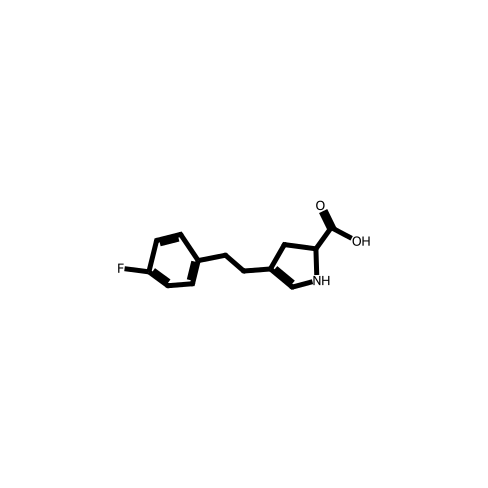 O=C(O)C1CC(CCc2ccc(F)cc2)=CN1